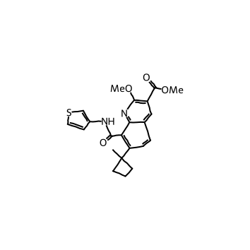 COC(=O)c1cc2ccc(C3(C)CCC3)c(C(=O)Nc3ccsc3)c2nc1OC